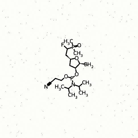 B[C@@H]1O[C@H](CC(F)P(C)(C)=O)C[C@@H]1OP(OCCC#N)N(C(C)C)C(C)C